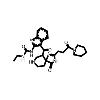 CCNC(=O)Nc1sc2ccccc2c1C(=O)C1CNCCC12N=C(CCC(=O)N1CCCCC1)NC2=O